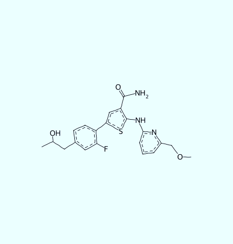 COCc1cccc(Nc2sc(-c3ccc(CC(C)O)cc3F)cc2C(N)=O)n1